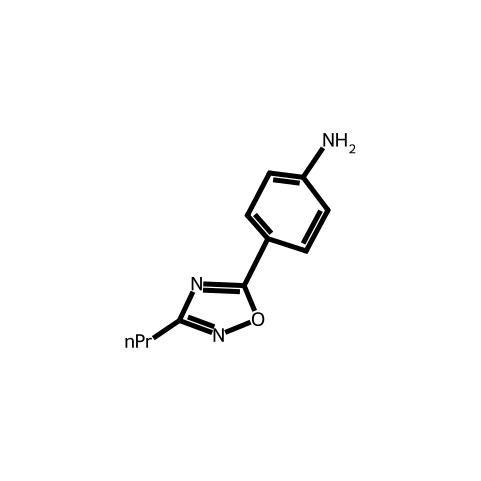 CCCc1noc(-c2ccc(N)cc2)n1